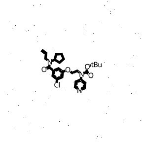 C=CCN(C(=O)c1cc(Cl)cc(OCCN(C(=O)OC(C)(C)C)c2ccncc2)c1)C1CCCC1